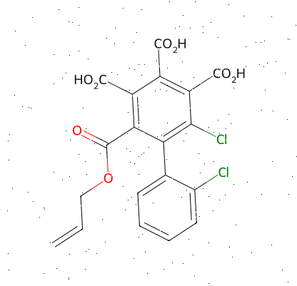 C=CCOC(=O)c1c(C(=O)O)c(C(=O)O)c(C(=O)O)c(Cl)c1-c1ccccc1Cl